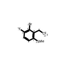 CSc1ccc(F)c(Br)c1CC(F)(F)F